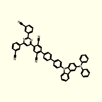 N#Cc1cccc(-c2cc(-c3cc(C#N)c(-c4ccc(-c5ccc(-n6c7ccccc7c7cc(N(c8ccccc8)c8ccccc8)ccc76)cc5)cc4)cc3C#N)nc(-c3cccc(C#N)c3)n2)c1